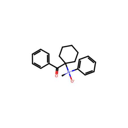 C[N@+]([O-])(c1ccccc1)C1(C(=O)c2ccccc2)CCCCC1